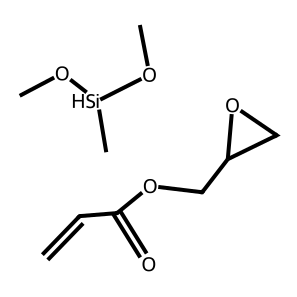 C=CC(=O)OCC1CO1.CO[SiH](C)OC